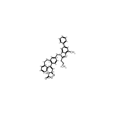 CCCc1nc2c(C)cc(-c3ccccc3)cc2n1Cc1ccc2c(c1)CCc1ccccc1C2=Cc1noc(=O)[nH]1